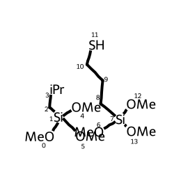 CO[Si](CC(C)C)(OC)OC.CO[Si](CCCS)(OC)OC